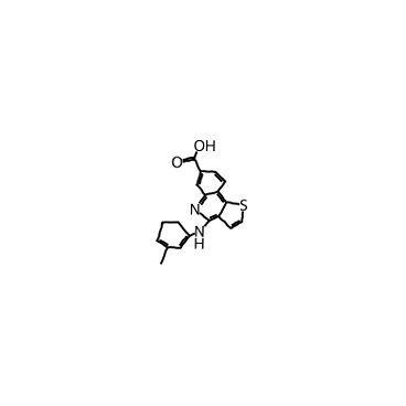 CC1=CCCC(Nc2nc3cc(C(=O)O)ccc3c3sccc23)=C1